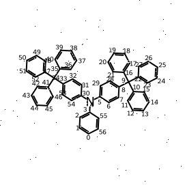 c1ccc(N(c2ccc(C(c3ccccc3)(c3ccccc3)c3ccccc3)cc2)c2ccc(C(c3ccccc3)(c3ccccc3)c3ccccc3)cc2)cc1